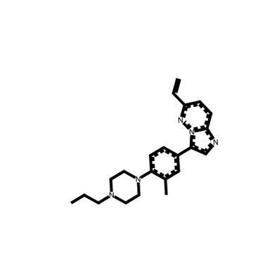 C=Cc1ccc2ncc(-c3ccc(N4CCN(CCC)CC4)c(C)c3)n2n1